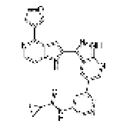 O=C(Nc1cncc(-c2cnc3[nH]nc(-c4cc5c(-c6ccoc6)nccc5[nH]4)c3c2)c1)C1CC1